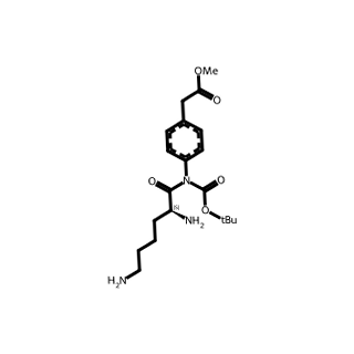 COC(=O)Cc1ccc(N(C(=O)OC(C)(C)C)C(=O)[C@@H](N)CCCCN)cc1